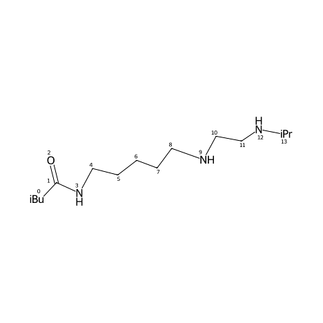 CCC(C)C(=O)NCCCCCNCCNC(C)C